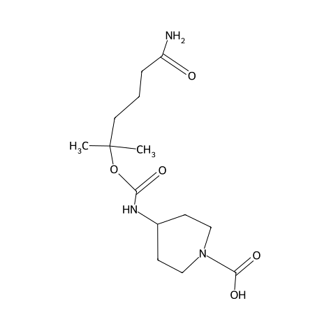 CC(C)(CCCC(N)=O)OC(=O)NC1CCN(C(=O)O)CC1